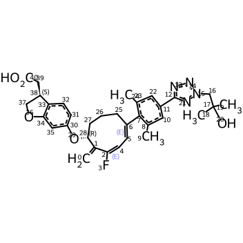 C=C1/C(F)=C\C=C(\c2c(C)cc(-c3nnn(CC(C)(C)O)n3)cc2C)CCC[C@H]1Oc1ccc2c(c1)OC[C@H]2CC(=O)O